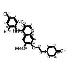 COc1cc2c(Nc3ccc(Cl)cc3Br)c(C#N)cnc2cc1OCCN1CCC(O)CC1